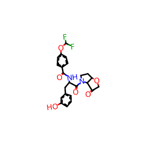 O=C(NC(Cc1cccc(O)c1)C(=O)N1CCC2OCC(=O)C21)c1ccc(OC(F)F)cc1